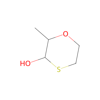 CC1OCCSC1O